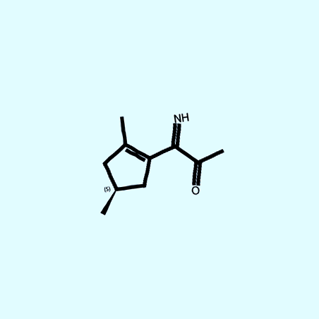 CC(=O)C(=N)C1=C(C)C[C@H](C)C1